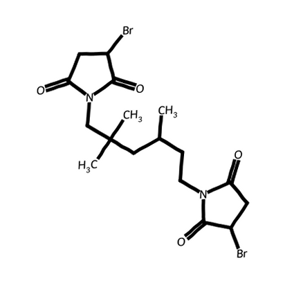 CC(CCN1C(=O)CC(Br)C1=O)CC(C)(C)CN1C(=O)CC(Br)C1=O